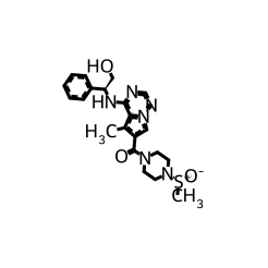 Cc1c(C(=O)N2CCN([S+](C)[O-])CC2)cn2ncnc(N[C@H](CO)c3ccccc3)c12